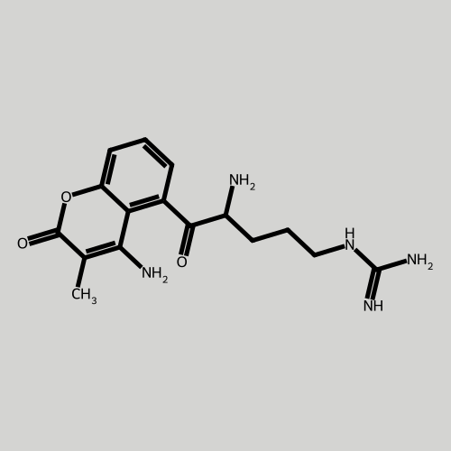 Cc1c(N)c2c(C(=O)C(N)CCCNC(=N)N)cccc2oc1=O